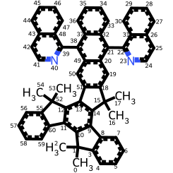 CC1(C)c2ccccc2-c2c1c1c(c3c2C(C)(C)c2cc4c(-c5nccc6ccccc56)c5ccccc5c(-c5nccc6ccccc56)c4cc2-3)C(C)(C)c2ccccc2-1